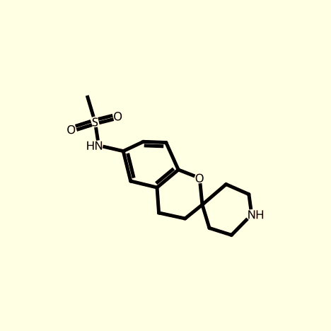 CS(=O)(=O)Nc1ccc2c(c1)CCC1(CCNCC1)O2